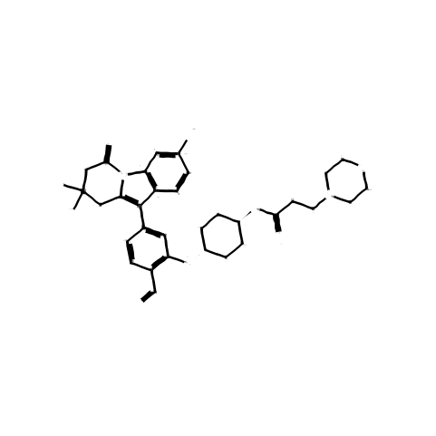 CC1(C)CC(=O)n2c(c(-c3ccc(C=O)c(N[C@H]4CC[C@H](NC(=O)CCN5CCOCC5)CC4)c3)c3ccc(F)cc32)C1